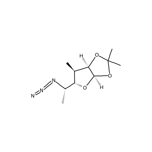 C[C@H]1[C@H]2OC(C)(C)O[C@H]2O[C@@H]1[C@H](C)N=[N+]=[N-]